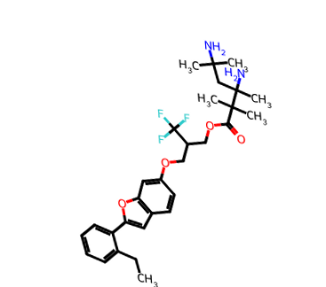 CCc1ccccc1-c1cc2ccc(OCC(COC(=O)C(C)(C)C(C)(N)CC(C)(C)N)C(F)(F)F)cc2o1